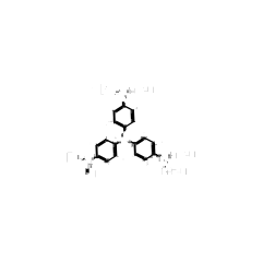 CCCCN(CCCC)c1ccc(N(c2ccc(N(CC)CC)cc2)c2ccc(N(CCCC)CCCC)cc2)cc1